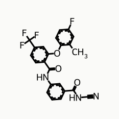 Cc1cc(F)ccc1Oc1cc(C(F)(F)F)ccc1C(=O)Nc1cccc(C(=O)NC#N)c1